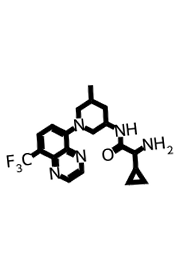 CC1CC(NC(=O)C(N)C2CC2)CN(c2ccc(C(F)(F)F)c3nccnc23)C1